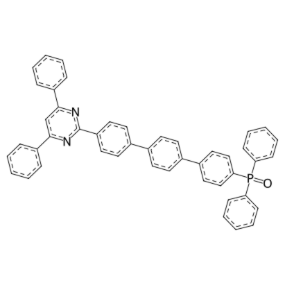 O=P(c1ccccc1)(c1ccccc1)c1ccc(-c2ccc(-c3ccc(-c4nc(-c5ccccc5)cc(-c5ccccc5)n4)cc3)cc2)cc1